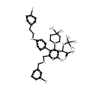 Cc1nc(COCc2cccc(Cl)c2)c(-c2ccc(OCCc3ccc(F)cc3)cc2)c(N2CCC(C)(C)CC2)c1C(OC(C)(C)C)C(=O)O